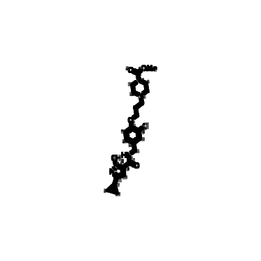 COC(=O)N1CCN(CCCOc2ccc(CNC(=O)c3cc(C4CC4)nn3C)cc2Cl)CC1